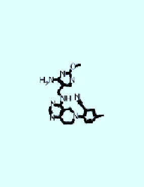 COc1ncc(CNc2ncnc3c2CN(c2ccc(C)cc2C#N)CC3)c(N)n1